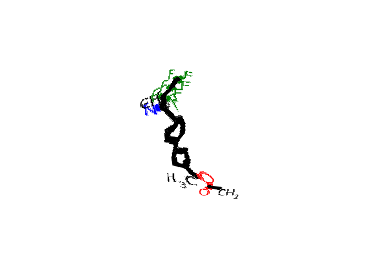 C=CC(=O)OC(C)c1ccc(-c2ccc(/C(=N/C)C(F)(F)C(F)(F)C(F)(F)F)cc2)cc1